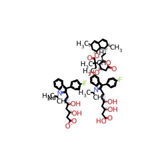 CC(C)n1c(/C=C/[C@@H](O)C[C@@H](O)CC(=O)O)c(-c2ccc(F)cc2)c2ccccc21.CC(C)n1c(/C=C/[C@@H](O)C[C@@H](O)CC(=O)[O-])c(-c2ccc(F)cc2)c2ccccc21.CCC(C)(C)C(=O)O[C@H]1C[C@@H](C)C=C2C=C[C@H](C)[C@H](CC[C@@H]3C[C@@H](O)CC(=O)O3)[C@H]21.[Na+]